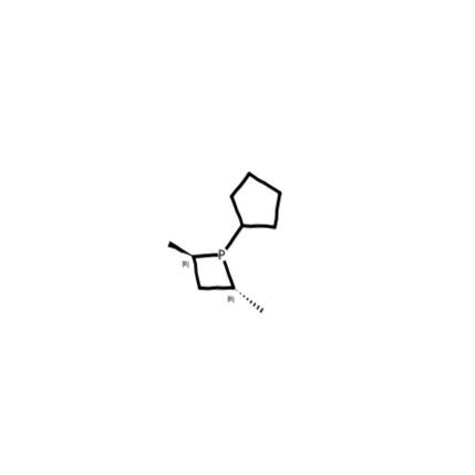 C[C@@H]1C[C@@H](C)P1C1CCCC1